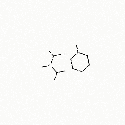 CCCCN(C(C)O)C(C)O.O=C(O)C1CCCCC1